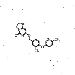 N#Cc1cc(COc2cc3n(c(=O)n2)CCN3)ccc1Oc1ccc(C(F)(F)F)nc1